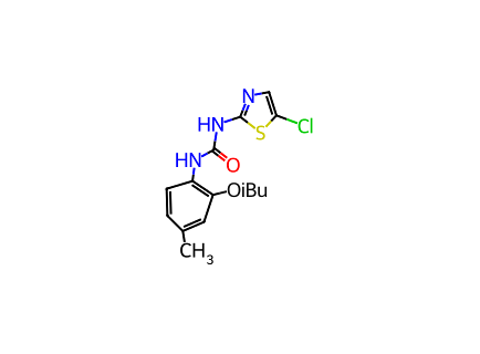 Cc1ccc(NC(=O)Nc2ncc(Cl)s2)c(OCC(C)C)c1